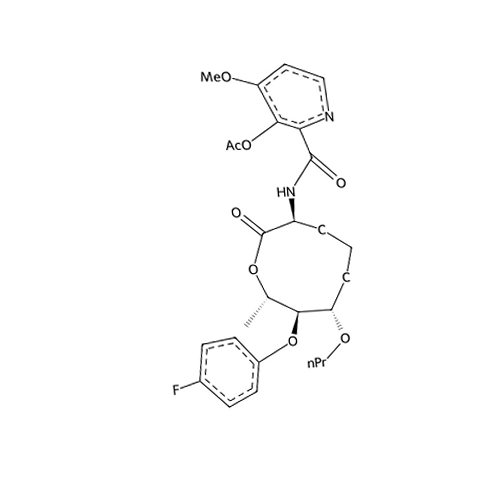 CCCO[C@H]1CCC[C@H](NC(=O)c2nccc(OC)c2OC(C)=O)C(=O)O[C@@H](C)[C@@H]1Oc1ccc(F)cc1